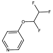 FC(F)C(F)Oc1ccncc1